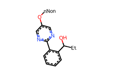 CCCCCCCCCOc1cnc(-c2ccccc2C(O)CC)nc1